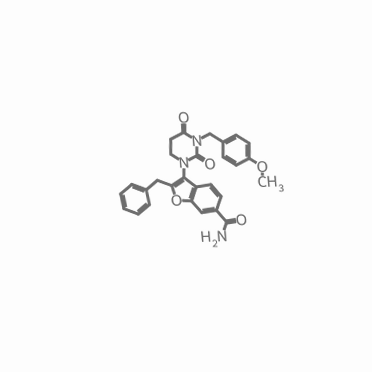 COc1ccc(CN2C(=O)CCN(c3c(Cc4ccccc4)oc4cc(C(N)=O)ccc34)C2=O)cc1